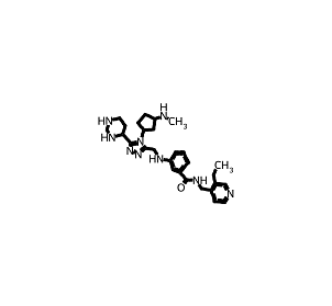 CCc1cnccc1CNC(=O)c1cccc(NCc2nnc(C3CCNCN3)n2C2CCC(NC)C2)c1